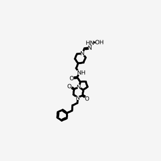 O=C(NCC1CCN(C=NNO)CC1)C1CCC2C(=O)N(CCCc3ccccc3)CC(=O)N12